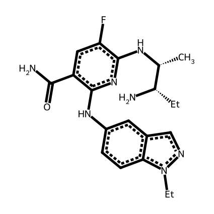 CC[C@H](N)[C@@H](C)Nc1nc(Nc2ccc3c(cnn3CC)c2)c(C(N)=O)cc1F